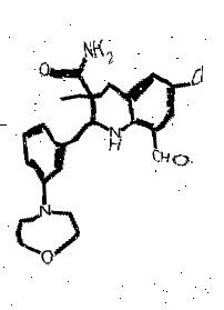 CC1(C(N)=O)Cc2cc(Cl)cc([C]=O)c2NC1c1cccc(N2CCOCC2)c1